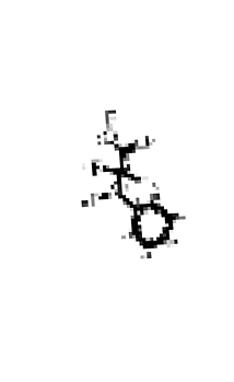 O=C(OF)C(F)(F)N(F)c1ccccc1